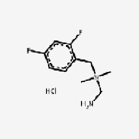 C[Si](C)(CN)Cc1ccc(F)cc1F.Cl